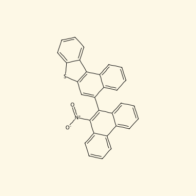 O=[N+]([O-])c1c(-c2cc3sc4ccccc4c3c3ccccc23)c2ccccc2c2ccccc12